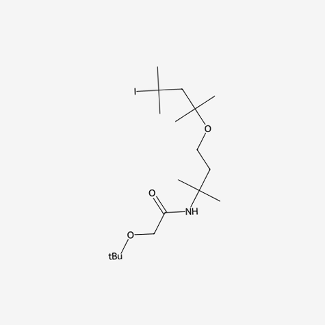 CC(C)(I)CC(C)(C)OCCC(C)(C)NC(=O)COC(C)(C)C